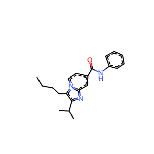 CCCCc1c(C(C)C)nc2cc(C(=O)Nc3ccccc3)ccn12